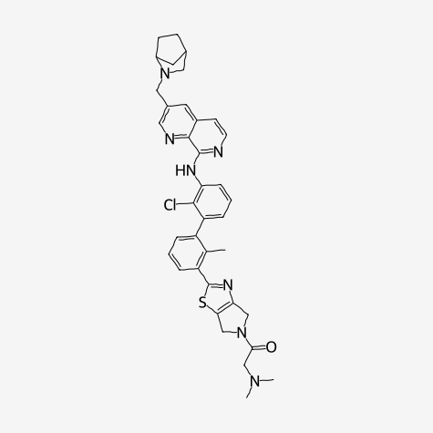 Cc1c(-c2nc3c(s2)CN(C(=O)CN(C)C)C3)cccc1-c1cccc(Nc2nccc3cc(CN4CC5CCC4C5)cnc23)c1Cl